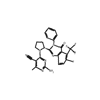 Cc1nc(N)nc(N2CCC[C@H]2c2nc3ccc(F)c(C(F)(F)F)c3c(=O)n2-c2ccccc2)c1C#N